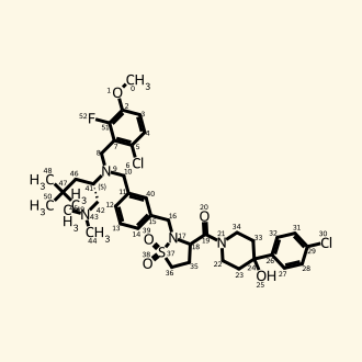 COc1ccc(Cl)c(CN(Cc2cccc(CN3C(C(=O)N4CCC(O)(c5ccc(Cl)cc5)CC4)CCS3(=O)=O)c2)[C@H](CN(C)C)CC(C)(C)C)c1F